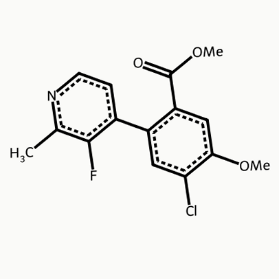 COC(=O)c1cc(OC)c(Cl)cc1-c1ccnc(C)c1F